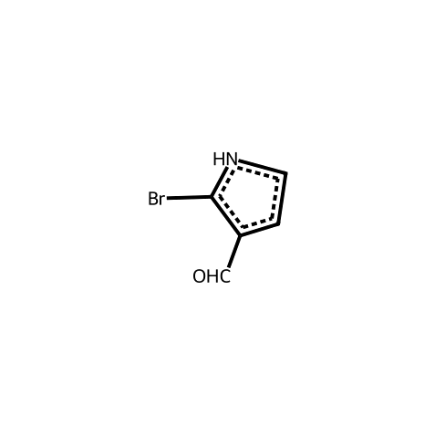 O=Cc1cc[nH]c1Br